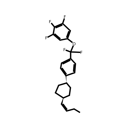 CC/C=C\[C@H]1CC[C@H](c2ccc(C(F)(F)Oc3cc(F)c(F)c(F)c3)cc2)CC1